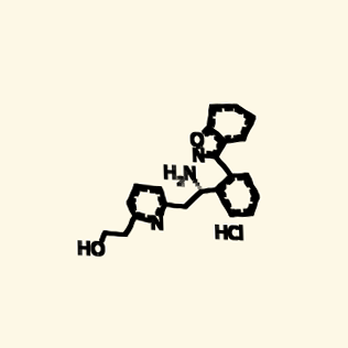 Cl.N[C@@H](Cc1cccc(CCO)n1)c1ccccc1-c1noc2ccccc12